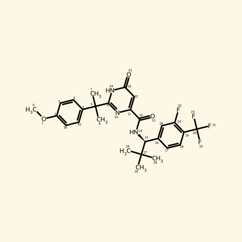 COc1ccc(C(C)(C)c2nc(C(=O)N[C@@H](c3ccc(C(F)(F)F)c(F)c3)C(C)(C)C)cc(=O)[nH]2)cc1